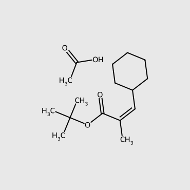 CC(=CC1CCCCC1)C(=O)OC(C)(C)C.CC(=O)O